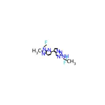 Cc1nc2ccc(-c3ccn4nc(NCC(C)(F)F)ncc34)nc2n1CCF